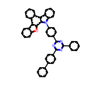 c1ccc(-c2ccc(-c3nc(-c4ccccc4)nc(-c4ccc(-n5c6ccccc6c6c7ccccc7c7c8ccccc8oc7c65)cc4)n3)cc2)cc1